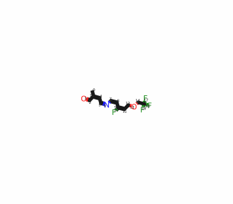 C/C(C=O)=C/C=N\C=C/C(F)=C\COCC(F)(F)F